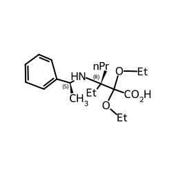 CCC[C@@](CC)(N[C@@H](C)c1ccccc1)C(OCC)(OCC)C(=O)O